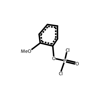 COc1ccccc1OP(=O)(Cl)Cl